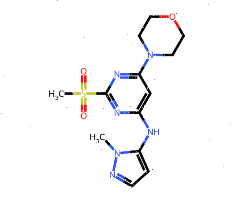 Cn1nccc1Nc1cc(N2CCOCC2)nc(S(C)(=O)=O)n1